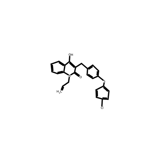 C=CCn1c(=O)c(Cc2ccc(Sc3ccc(Cl)cc3)cc2)c(O)c2ccccc21